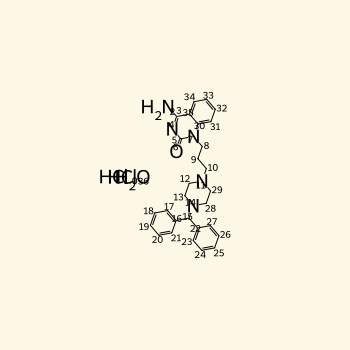 Cl.Cl.Nc1nc(=O)n(CCCN2CCN(C(c3ccccc3)c3ccccc3)CC2)c2ccccc12.O